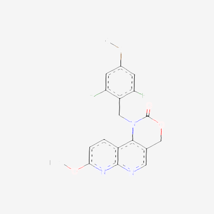 COc1ccc2c3c(cnc2n1)COC(=O)N3Cc1c(F)cc(SC)cc1F